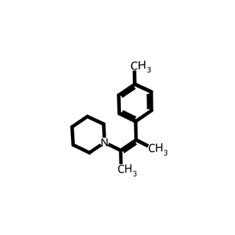 CC(=C(C)N1CCCCC1)c1ccc(C)cc1